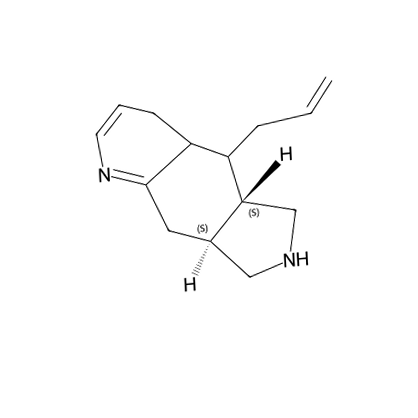 C=CCC1C2CC=CN=C2C[C@@H]2CNC[C@@H]12